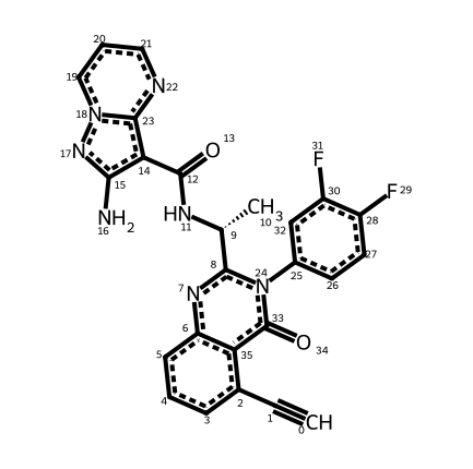 C#Cc1cccc2nc([C@@H](C)NC(=O)c3c(N)nn4cccnc34)n(-c3ccc(F)c(F)c3)c(=O)c12